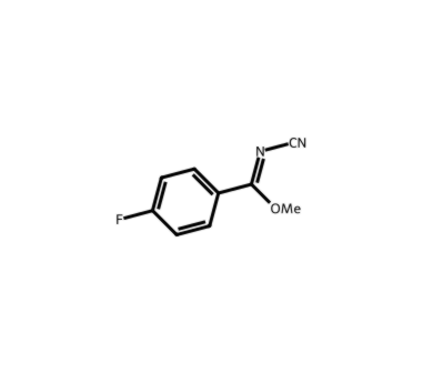 COC(=NC#N)c1ccc(F)cc1